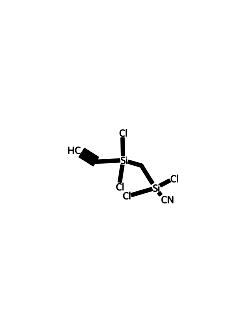 C#C[Si](Cl)(Cl)C[Si](Cl)(Cl)C#N